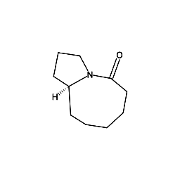 O=C1CCCCC[C@H]2CCCN12